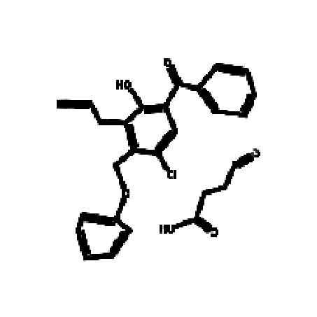 C=CCc1c(O)c(C(=O)c2ccccc2)cc(Cl)c1COc1ccccc1.O=CCCC(=O)O